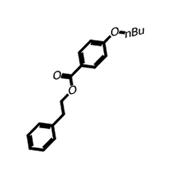 CCCCOc1ccc(C(=O)OCCc2ccccc2)cc1